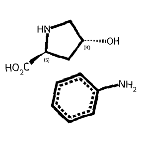 Nc1ccccc1.O=C(O)[C@@H]1C[C@@H](O)CN1